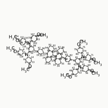 COc1ccc(N(c2ccc(OC)cc2)c2cc(-c3ccc(-c4c5ccccc5c(-c5c6ccccc6c(-c6ccc(-c7cc(N(c8ccc(OC)cc8)c8ccc(OC)cc8)cc(N(c8ccc(OC)cc8)c8ccc(OC)cc8)c7)cc6)c6ccccc56)c5ccccc45)cc3)cc(N(c3ccc(OC)cc3)c3ccc(OC)cc3)c2)cc1